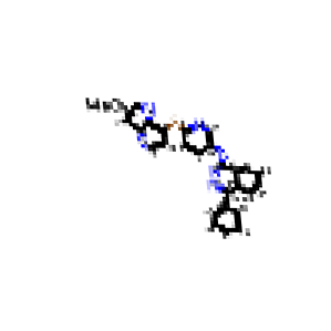 COc1cnc2c(Sc3ccc(Nc4nnc(-c5ccccc5)c5ccccc45)cn3)ccnc2c1